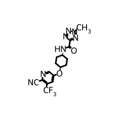 Cn1nnc(C(=O)N[C@H]2CC[C@H](Oc3cnc(C#N)c(C(F)(F)F)c3)CC2)n1